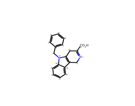 O=C(O)C1=NCc2c(n(Cc3ccccc3)c3ccccc23)C1